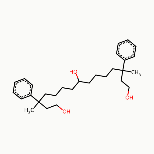 CC(CCO)(CCCCC(O)CCCCC(C)(CCO)c1ccccc1)c1ccccc1